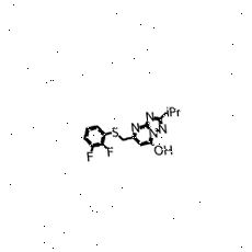 CC(C)c1nc2nc(CSc3cccc(F)c3F)cc(O)n2n1